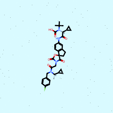 C[C@@H](C1CC1)N(Cc1ccc(F)cc1)C(=O)CN1C(=O)OC2(CCc3cc(NC(=O)[C@@H](C4CC4)N(C(=O)O)C(C)(C)C)ccc32)C1=O